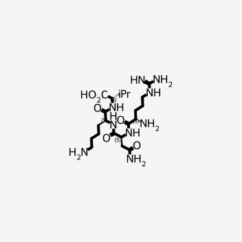 CC(C)[C@H](NC(=O)[C@H](CCCCN)NC(=O)[C@H](CC(N)=O)NC(=O)[C@@H](N)CCCNC(=N)N)C(=O)O